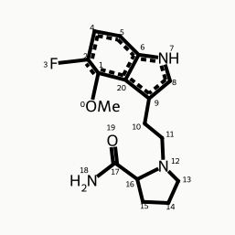 COc1c(F)ccc2[nH]cc(CCN3CCCC3C(N)=O)c12